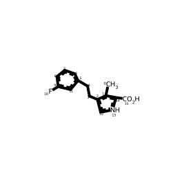 Cc1c(CCc2cccc(F)c2)c[nH]c1C(=O)O